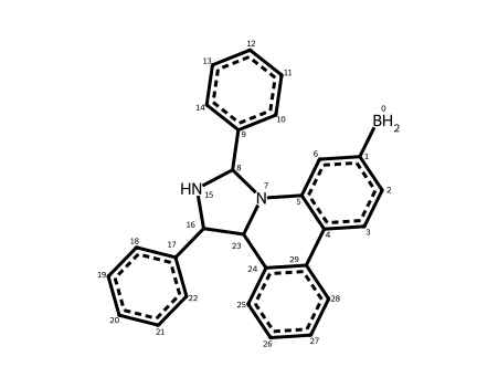 Bc1ccc2c(c1)N1C(c3ccccc3)NC(c3ccccc3)C1c1ccccc1-2